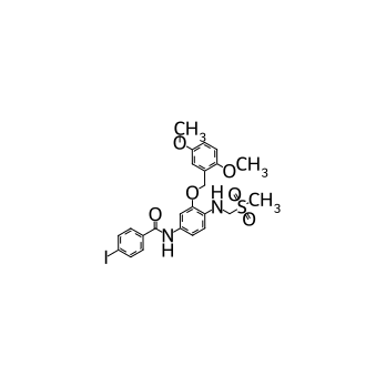 COc1ccc(OC)c(COc2cc(NC(=O)c3ccc(I)cc3)ccc2NCS(C)(=O)=O)c1